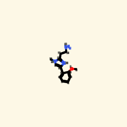 COc1ccccc1-c1cn(C)c(CCN)n1